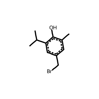 Cc1cc(CBr)cc(C(C)C)c1O